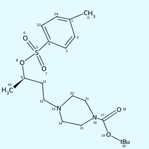 Cc1ccc(S(=O)(=O)O[C@H](C)CCN2CCN(C(=O)OC(C)(C)C)CC2)cc1